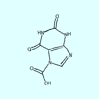 O=C(O)n1cnc2[nH]c(=O)[nH]c(=O)c21